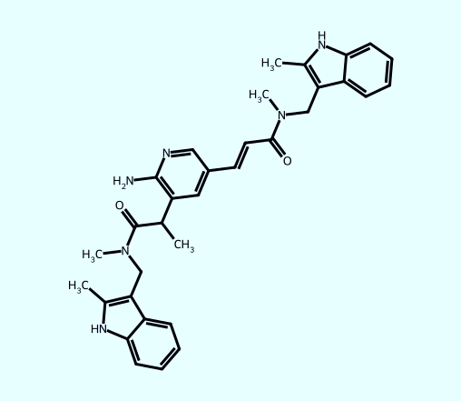 Cc1[nH]c2ccccc2c1CN(C)C(=O)/C=C/c1cnc(N)c(C(C)C(=O)N(C)Cc2c(C)[nH]c3ccccc23)c1